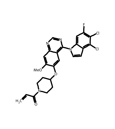 C=CC(=O)N1CCC(Oc2cc3c(-n4ccc5c(Cl)c(Cl)c(F)cc54)ncnc3cc2OC)CC1